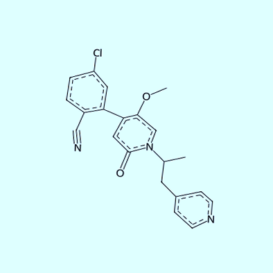 COc1cn(C(C)Cc2ccncc2)c(=O)cc1-c1cc(Cl)ccc1C#N